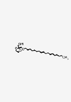 CCCCCCCCCCCCCCCCCCOCC1(CO)OCCO1